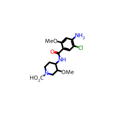 COc1cc(N)c(Cl)cc1C(=O)NC1CCN(C(=O)O)CC1OC